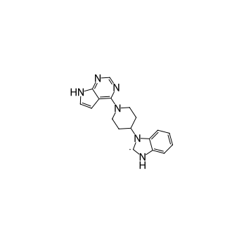 [CH]1Nc2ccccc2N1C1CCN(c2ncnc3[nH]ccc23)CC1